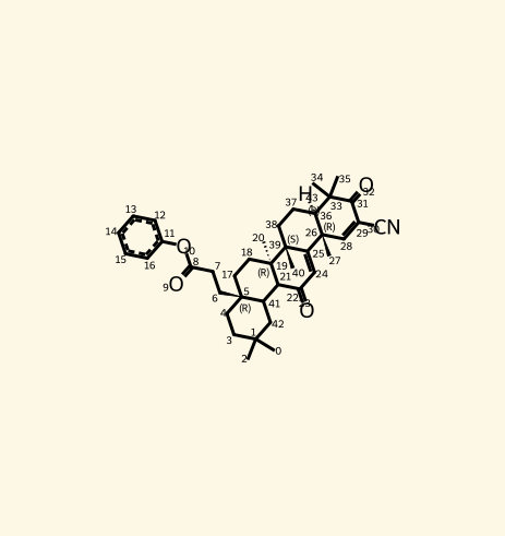 CC1(C)CC[C@]2(CCC(=O)Oc3ccccc3)CC[C@]3(C)C(C(=O)C=C4[C@@]5(C)C=C(C#N)C(=O)C(C)(C)[C@@H]5CC[C@]43C)C2C1